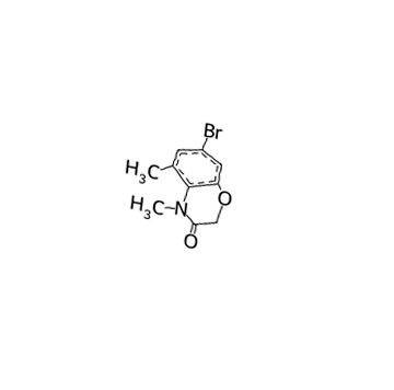 Cc1cc(Br)cc2c1N(C)C(=O)CO2